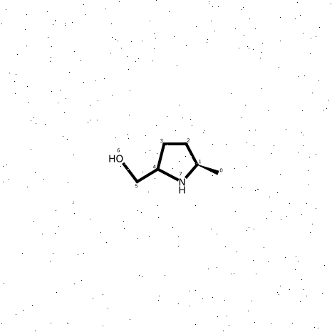 C[C@@H]1CCC(CO)N1